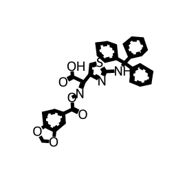 O=C(O)/C(=N\OC(=O)c1ccc2c(c1)OCO2)c1csc(NC(c2ccccc2)(c2ccccc2)c2ccccc2)n1